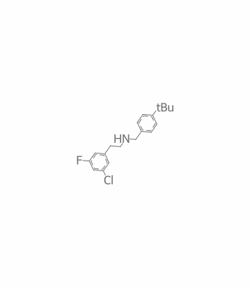 CC(C)(C)c1ccc(CNCCc2cc(F)cc(Cl)c2)cc1